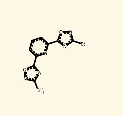 CCc1noc(-c2cccc(-c3nc(C)no3)n2)n1